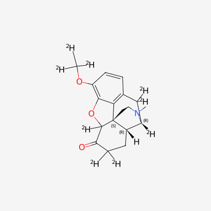 [2H]C([2H])([2H])Oc1ccc2c3c1OC1([2H])C(=O)C([2H])([2H])C[C@@H]4[C@@]31CCN(C)[C@]4([2H])C2([2H])[2H]